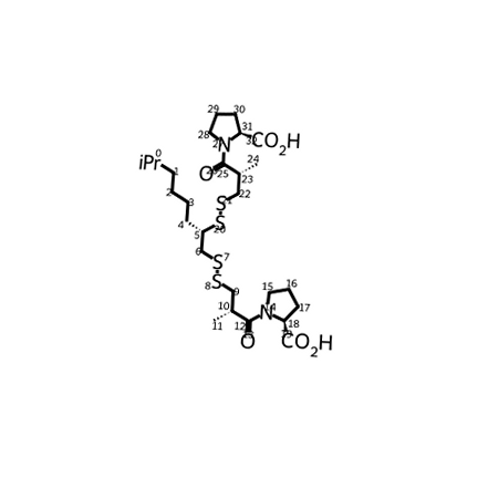 CC(C)CCCC[C@@H](CSSC[C@@H](C)C(=O)N1CCC[C@H]1C(=O)O)SSC[C@@H](C)C(=O)N1CCC[C@H]1C(=O)O